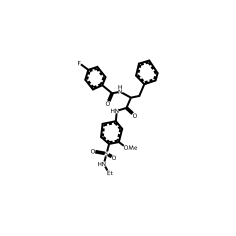 CCNS(=O)(=O)c1ccc(NC(=O)C(Cc2ccccc2)NC(=O)c2ccc(F)cc2)cc1OC